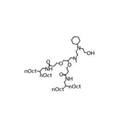 CCCCCCCCC(CCCCCCCC)CNC(=O)CCOCC(CN(C)CCN(CCO)C1CCCCC1)OCCC(=O)NCC(CCCCCCCC)CCCCCCCC